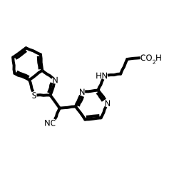 N#CC(c1ccnc(NCCC(=O)O)n1)c1nc2ccccc2s1